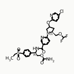 CCS(=O)(=O)c1ccc([C@H](COC(N)=O)NC(=O)c2ccc(N3CC(Oc4ccc(Cl)cn4)C[C@H]3COC(F)F)nc2)cc1